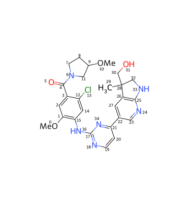 COc1cc(C(=O)N2CCC(OC)C2)c(Cl)cc1Nc1nccc(-c2cnc3c(c2)C(C)(CO)CN3)n1